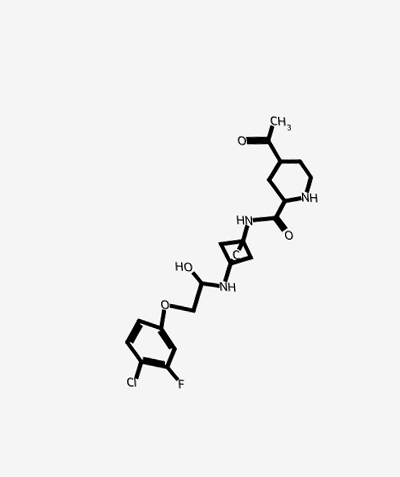 CC(=O)C1CCNC(C(=O)NC23CC(NC(O)COc4ccc(Cl)c(F)c4)(C2)C3)C1